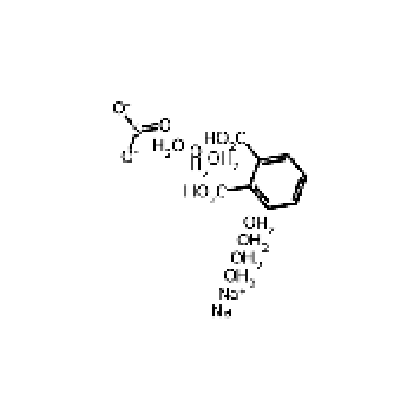 O.O.O.O.O.O.O.O=C(O)c1ccccc1C(=O)O.O=S([O-])[O-].[Na+].[Na+]